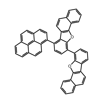 c1ccc2c(c1)ccc1c3cccc(-c4ccc(-c5ccc6ccc7cccc8ccc5c6c78)c5c4oc4c6ccccc6ccc45)c3oc21